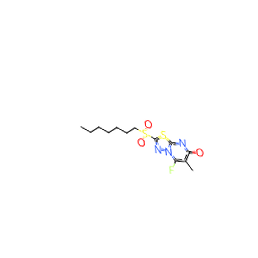 CCCCCCCS(=O)(=O)c1nn2c(F)c(C)c(=O)nc2s1